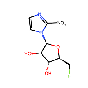 O=[N+]([O-])c1nccn1[C@H]1O[C@@H](CF)[C@H](O)[C@H]1O